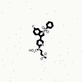 CS(=O)(=O)CCN(C(=O)O)c1ccc(-c2cn(S(=O)(=O)c3ccccc3)c3cc(F)ccc23)cn1